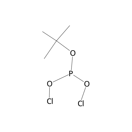 CC(C)(C)OP(OCl)OCl